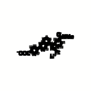 CCc1nc(-c2cccc3cc(-c4ccc(C(=O)[O-])nc4)ncc23)c2n1CCN(C(=O)NC)C2.[Li+]